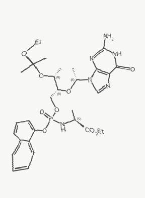 CCOC(=O)[C@H](C)NP(=O)(OC[C@@H](O[C@H](C)n1cnc2c(=O)[nH]c(N)nc21)[C@@H](C)OC(C)(C)OCC)Oc1cccc2ccccc12